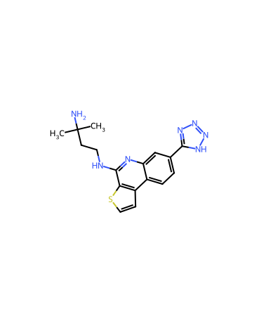 CC(C)(N)CCNc1nc2cc(-c3nnn[nH]3)ccc2c2ccsc12